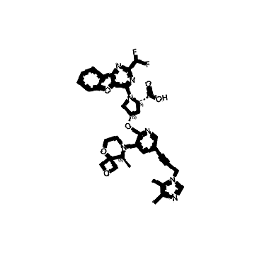 Cc1ncn(CC#Cc2cnc(O[C@H]3C[C@@H](C(=O)O)N(c4nc(C(F)F)nc5c4oc4ccccc45)C3)c(N3CCOC4(COC4)[C@@H]3C)c2)c1C